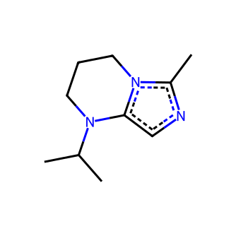 Cc1ncc2n1CCCN2C(C)C